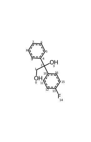 OCC(O)(c1ccccc1)c1ccc(F)cc1